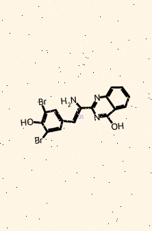 N/C(=C\c1cc(Br)c(O)c(Br)c1)c1nc(O)c2ccccc2n1